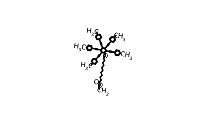 CCOC(=O)CCCCCCCCCCOc1c(C#Cc2ccc(C)cc2)c(C#Cc2ccc(C)cc2)c(C#Cc2ccc(C)cc2)c(C#Cc2ccc(C)cc2)c1C#Cc1ccc(C)cc1